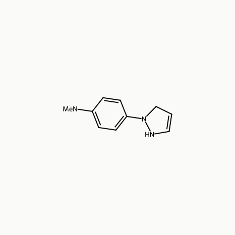 CNc1ccc(N2CC=CN2)cc1